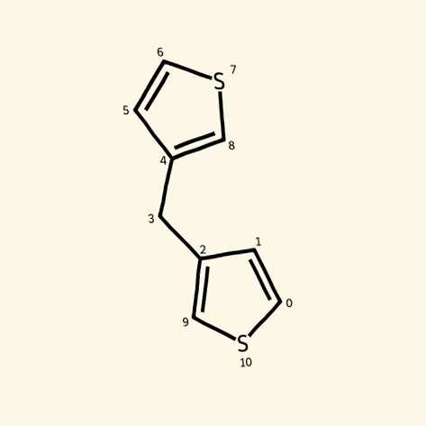 c1cc(Cc2ccsc2)cs1